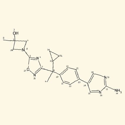 CC1(O)CN(c2nc(C(C)(c3ccc(-c4cnc(N)nc4)cc3)C3CC3)no2)C1